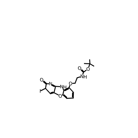 CC(C)(C)OC(=O)NCCOc1cccc2c1NC1=NC(=O)C(I)C=C1O2